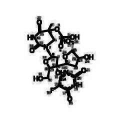 CC1(OC(=O)O)CN([C@H]2C[C@@](O)([C@]3(n4cc(F)c(=O)[nH]c4=O)C[C@H](O)[C@@H](CO)O3)[C@@H](CO)O2)C(=O)NC1=O